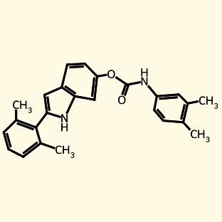 Cc1ccc(NC(=O)Oc2ccc3cc(-c4c(C)cccc4C)[nH]c3c2)cc1C